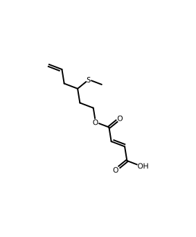 C=CCC(CCOC(=O)C=CC(=O)O)SC